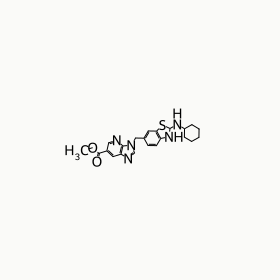 COC(=O)c1cnc2c(c1)ncn2Cc1ccc2c(c1)SC(NC1CCCCC1)N2